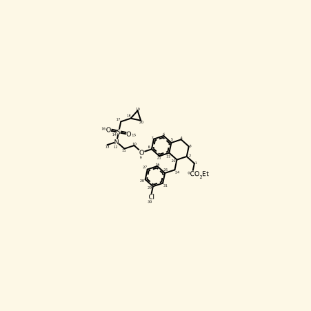 CCOC(=O)CC1CCc2ccc(OCCN(C)S(=O)(=O)CC3CC3)cc2C1Cc1cccc(Cl)c1